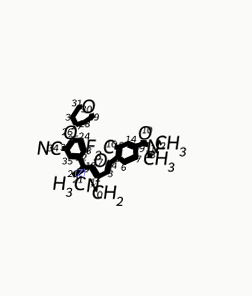 C=Nc1cc(-c2ccc(C(=O)N(C)C)cc2C(F)(F)F)oc1/C(=C\C)c1ccc(OC2CCOCC2)c(C#N)c1